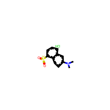 CN(C)c1ccc2c([SH](=O)=O)cccc2c1.Cl